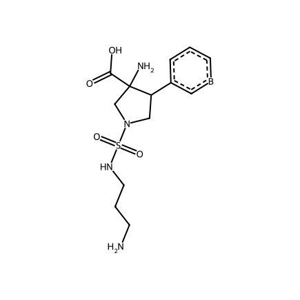 NCCCNS(=O)(=O)N1CC(c2cbccc2)C(N)(C(=O)O)C1